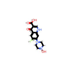 O=C(O)c1c[nH]c2cc(N3CCN(O)CC3)c(F)cc2c1=O